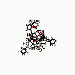 CC(=O)Nc1nc(CCC(O)(P(=O)(O)O)P(=O)(O)OC(CCc2cncs2)(P(=O)(O)O)P(=O)(O)OC(CCc2cscn2)(P(=O)(O)O)P(=O)(O)OC(CCc2nccs2)(P(=O)(O)O)P(=O)(O)O)cs1